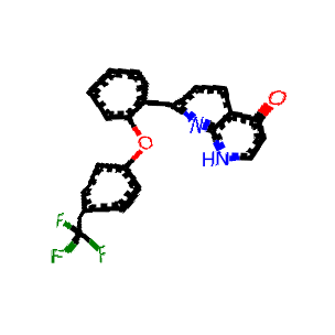 O=c1cc[nH]c2nc(-c3ccccc3Oc3ccc(C(F)(F)F)cc3)ccc12